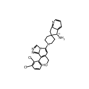 N[C@@H]1c2cccnc2CC12CCN(c1cc(CO)c(-c3cccc(Cl)c3Cl)c3nncn13)CC2